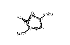 CCCCc1ccc(C#N)c(=O)[nH]1